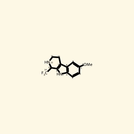 COc1ccc2[nH]c3c(c2c1)CCNC3C(F)(F)F